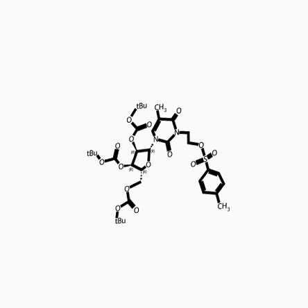 Cc1ccc(S(=O)(=O)OCCn2c(=O)c(C)cn([C@@H]3O[C@H](COC(=O)OC(C)(C)C)[C@@H](OC(=O)OC(C)(C)C)[C@H]3OC(=O)OC(C)(C)C)c2=O)cc1